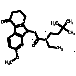 CCN(CCC(C)(C)C)C(=O)Cn1c2c(c3ccc(OC)cc31)C(=O)CCC2